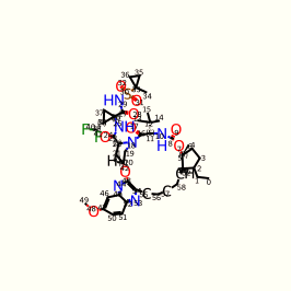 CCC1CC[C@@]2(C)OC(=O)N[C@@H](C(C)(C)C)C(=O)N3C[C@@H](C[C@H]3C(=O)N[C@]3(C(=O)NS(=O)(=O)C4(C)CC4)C[C@H]3C(F)F)Oc3nc4cc(OC)ccc4nc3CCCCC[C@H]12